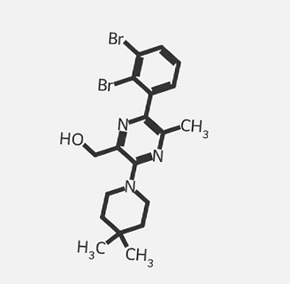 Cc1nc(N2CCC(C)(C)CC2)c(CO)nc1-c1cccc(Br)c1Br